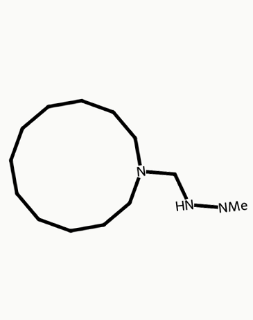 CNNCN1CCCCCCCCCCC1